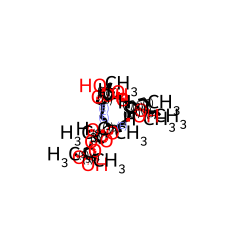 CC[C@H](C)[C@H]1O[C@]2(CC[C@@H]1C)C[C@@H]1C[C@@H](C/C=C(\C)[C@@H](OC3C[C@H](OC)[C@@H](OC4C[C@H](OC)[C@@H](O)[C@H](C)O4)CO3)[C@@H](C)/C=C/C=C3\CO[C@@H]4[C@H](O)C(C)=CC(C(=O)O1)[C@]34O)[C@H]2O